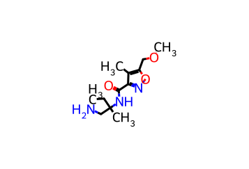 CCC(C)(CN)NC(=O)c1noc(COC)c1C